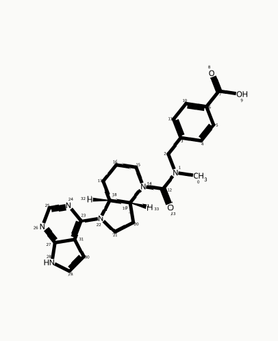 CN(Cc1ccc(C(=O)O)cc1)C(=O)N1CCC[C@@H]2[C@H]1CCN2c1ncnc2[nH]ccc12